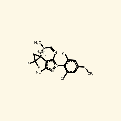 CN(C)/C=N\c1c(C2(C(F)(F)F)CC2(F)F)c(C#N)nn1-c1c(Cl)cc(SC(F)(F)F)cc1Cl